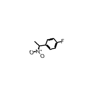 CC(c1ccc(F)cc1)[N+](=O)[O-]